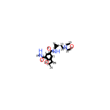 CNC(=O)c1cc(C(=O)N[C@H]2C[C@@H]2CCN2CCOCC2)cc2c1O[C@H](C)[C@H]2C